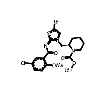 COc1ccc(Cl)cc1C(=O)N=c1sc(C(C)(C)C)cn1C[C@H]1CCCCN1C(=O)OC(C)(C)C